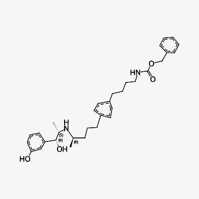 C[C@H](CCCc1ccc(CCCCNC(=O)OCc2ccccc2)cc1)N[C@@H](C)[C@H](O)c1cccc(O)c1